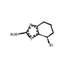 CC(=O)Nc1nc2c(s1)[C@H](C(C)C)CCC2